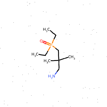 CCP(=O)(CC)CC(C)(C)CN